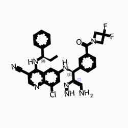 CC[C@@H](Nc1c(C#N)cnc2c(Cl)cc(N[C@H](/C(=C/N)N=N)c3cccc(C(=O)N4CC(F)(F)C4)c3)cc12)c1ccccc1